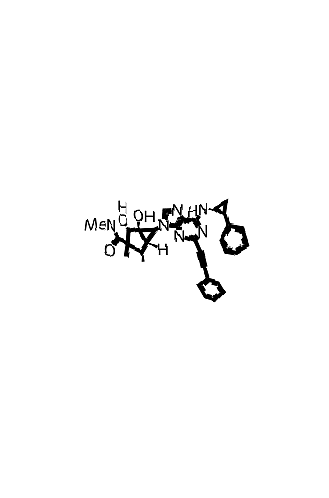 CNC(=O)C1(C)[C@H](C)[C@H]2C(n3cnc4c(N[C@@H]5CC5c5ccccc5)nc(C#Cc5ccccc5)nc43)[C@@]2(O)[C@@H]1O